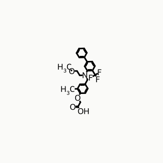 COCCN(Cc1ccc(OCC(=O)O)c(C)c1)c1cc(-c2ccccc2)ccc1C(F)(F)F